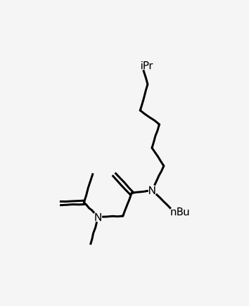 C=C(C)N(C)CC(=C)N(CCCC)CCCCCC(C)C